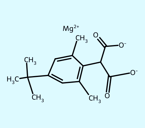 Cc1cc(C(C)(C)C)cc(C)c1C(C(=O)[O-])C(=O)[O-].[Mg+2]